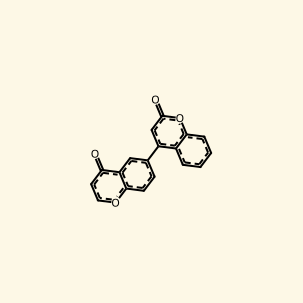 O=c1cc(-c2ccc3occc(=O)c3c2)c2ccccc2o1